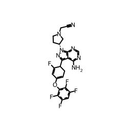 N#CCN1CC[C@@H](n2nc(C3CC=C(Oc4c(F)c(F)cc(F)c4F)C=C3F)c3c(N)ncnc32)C1